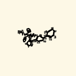 CC(C)S(=O)(=O)Nc1ccsc1-c1ccc(-c2ccccc2)cc1